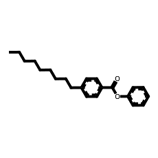 CCCCCCCCCc1ccc(C(=O)Oc2ccccc2)cc1